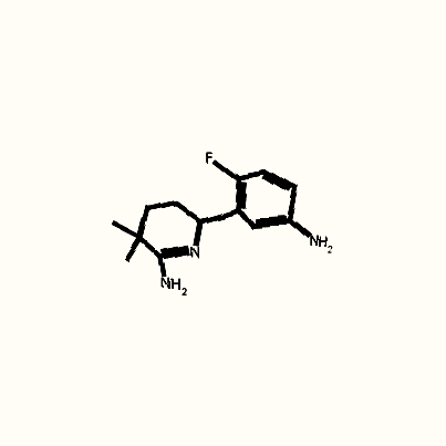 CC1(C)CCC(c2cc(N)ccc2F)N=C1N